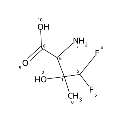 CC(O)(C(F)F)C(N)C(=O)O